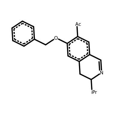 CC(=O)c1cc2c(cc1OCc1ccccc1)CC(C(C)C)N=C2